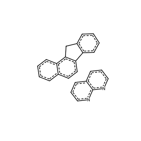 c1ccc2c(c1)Cc1c-2ccc2ccccc12.c1cnc2ncccc2c1